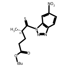 C[C@@H](CCC(=O)OC(C)(C)C)C(=S)n1nnc2ccc([N+](=O)[O-])cc21